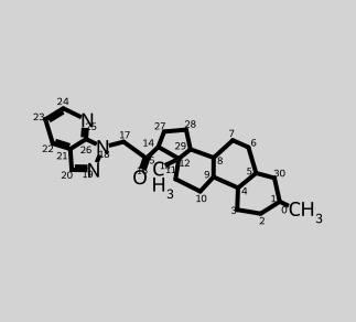 CC1CCC2C(CCC3C2CCC2(C)C(C(=O)Cn4ncc5cccnc54)CCC32)C1